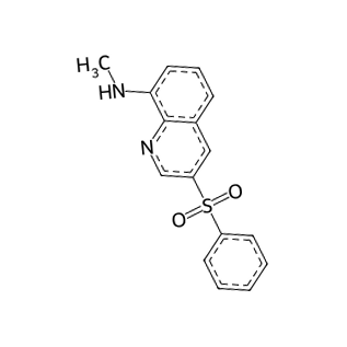 CNc1cccc2cc(S(=O)(=O)c3ccccc3)cnc12